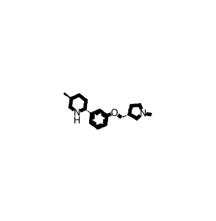 C[C@H]1CC[C@H](c2cccc(OC[C@@H]3CCN(C)C3)c2)NC1